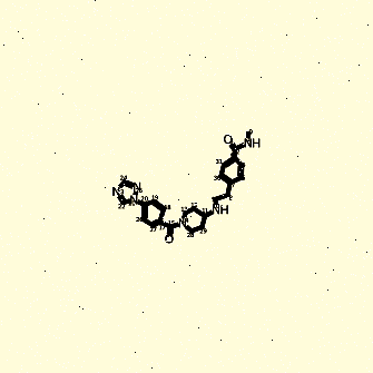 CNC(=O)c1ccc(CCNC2CCN(C(=O)c3ccc(-n4cncn4)cc3)CC2)cc1